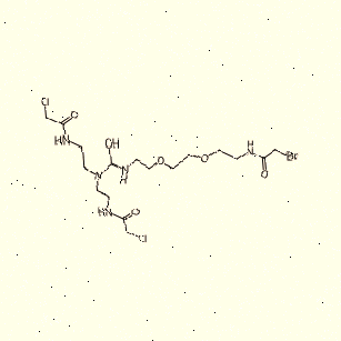 O=C(CCl)NCCN(CCNC(=O)CCl)C(O)NCCOCCOCCNC(=O)CBr